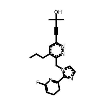 CCCc1cc(C#CC(C)(C)O)nnc1Cn1ccnc1C1=NC(F)=CCC1